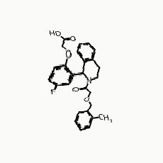 Cc1ccccc1COCC(=O)N1CCc2ccccc2C1c1cc(F)ccc1OCC(=O)O